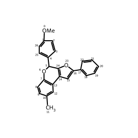 COc1ccc(C2Oc3ccc(C)cc3-c3cc(-c4ccccc4)oc32)cc1